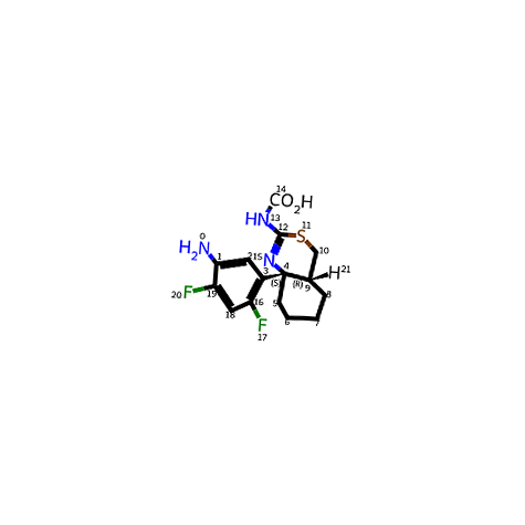 Nc1cc([C@]23CCCC[C@H]2CSC(NC(=O)O)=N3)c(F)cc1F